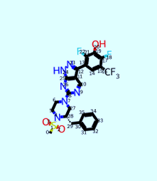 CS(=O)(=O)N1CCN(c2ncc3c(-c4cc(C(F)(F)F)c(F)c(O)c4F)n[nH]c3n2)C[C@@H]1Cc1ccccc1